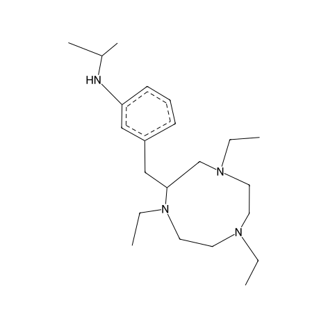 CCN1CCN(CC)CC(Cc2cccc(NC(C)C)c2)N(CC)CC1